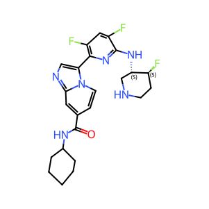 O=C(NC1CCCCC1)c1ccn2c(-c3nc(N[C@H]4CNCC[C@@H]4F)c(F)cc3F)cnc2c1